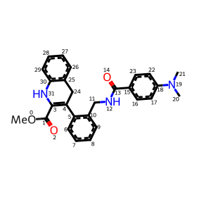 COC(=O)C1=C(c2ccccc2CNC(=O)c2ccc(N(C)C)cc2)Cc2ccccc2N1